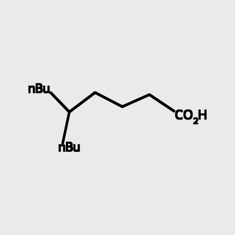 CCCCC(CCCC)CCCC(=O)O